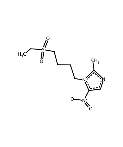 CCS(=O)(=O)CCCCn1c([N+](=O)[O-])cnc1C